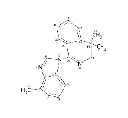 Cc1cccc2c1ncn2C1=NCC(C)(C)c2ccccc21